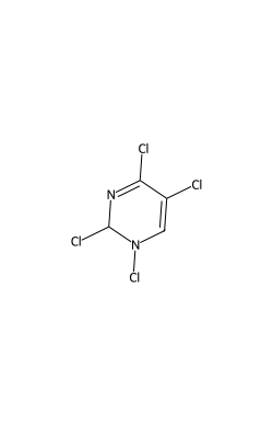 ClC1=CN(Cl)C(Cl)N=C1Cl